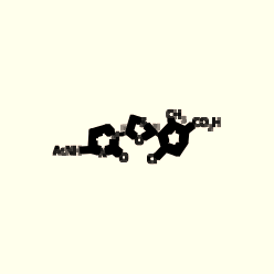 CC(=O)Nc1ccn([C@@H]2CS[C@H](c3c(Cl)ccc(C(=O)O)c3C)O2)c(=O)n1